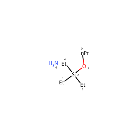 CCCO[Si](CC)(CC)CC.N